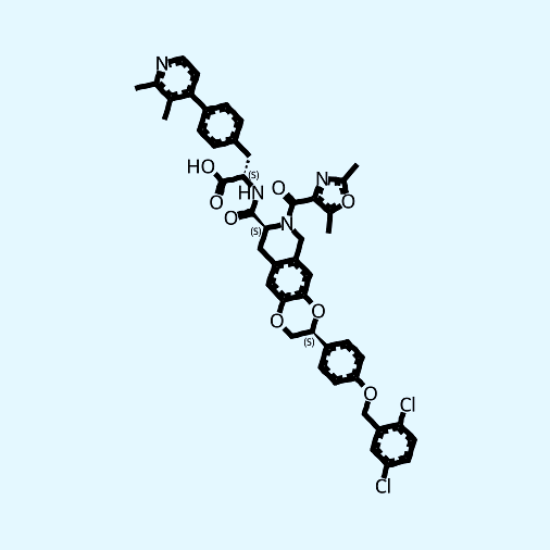 Cc1nc(C(=O)N2Cc3cc4c(cc3C[C@H]2C(=O)N[C@@H](Cc2ccc(-c3ccnc(C)c3C)cc2)C(=O)O)OC[C@H](c2ccc(OCc3cc(Cl)ccc3Cl)cc2)O4)c(C)o1